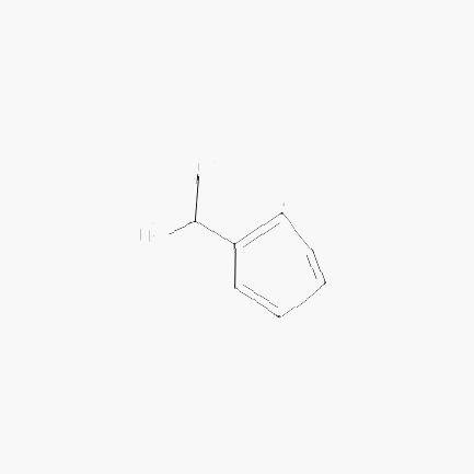 CC(C)[C](O)c1ccccc1